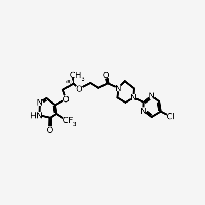 C[C@H](COc1cn[nH]c(=O)c1C(F)(F)F)OCCC(=O)N1CCN(c2ncc(Cl)cn2)CC1